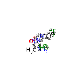 Cc1cc([N+](=O)[O-])c(N2CCCN(Cc3cccc(C(F)(F)F)c3)CC2)cc1N.Cl.Cl